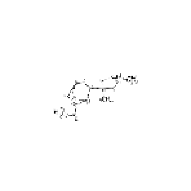 CCCC(C)(CC)C1CC2CC(SC)C1C2